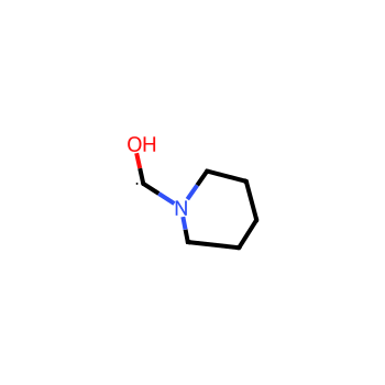 O[CH]N1CCCCC1